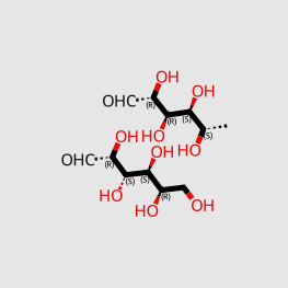 C[C@H](O)[C@H](O)[C@@H](O)[C@@H](O)C=O.O=C[C@H](O)[C@@H](O)[C@@H](O)[C@H](O)CO